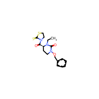 CCN1C(=O)N(OCc2ccccc2)CC[C@H]1C(=O)N1CCSC1=S